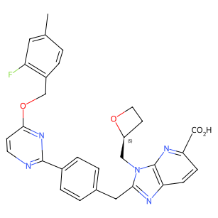 Cc1ccc(COc2ccnc(-c3ccc(Cc4nc5ccc(C(=O)O)nc5n4C[C@@H]4CCO4)cc3)n2)c(F)c1